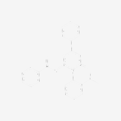 CC(C)c1ccccc1-n1c(=O)cc(-c2ccccc2)sc1=NC(=O)c1ccccc1